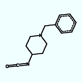 O=C=NC1CCN(Cc2ccccc2)CC1